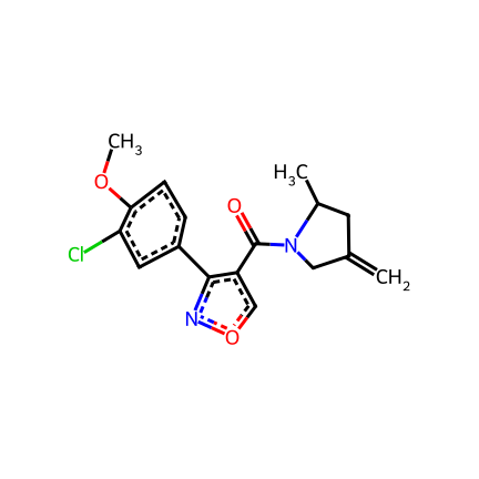 C=C1CC(C)N(C(=O)c2conc2-c2ccc(OC)c(Cl)c2)C1